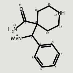 CNC(c1ccccc1)C1(C(N)=O)CCNCC1